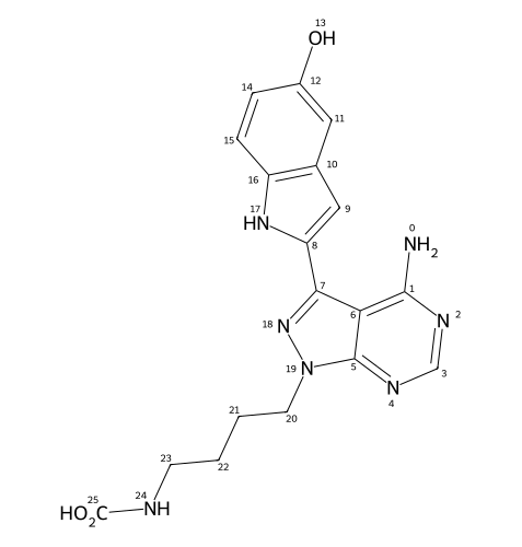 Nc1ncnc2c1c(-c1cc3cc(O)ccc3[nH]1)nn2CCCCNC(=O)O